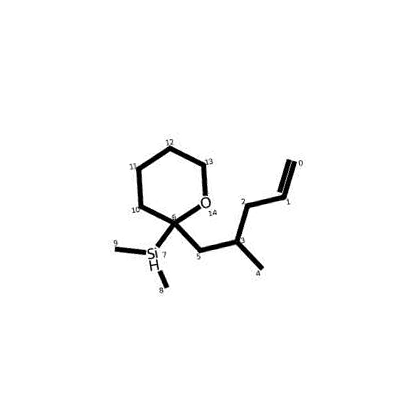 C=CCC(C)CC1([SiH](C)C)CCCCO1